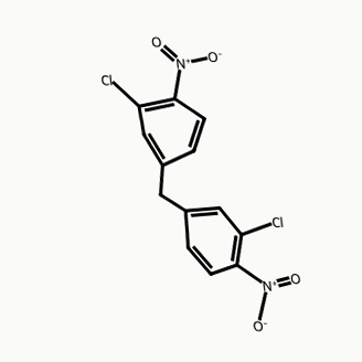 O=[N+]([O-])c1ccc(Cc2ccc([N+](=O)[O-])c(Cl)c2)cc1Cl